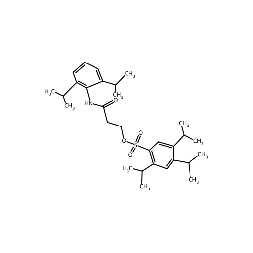 CC(C)c1cc(C(C)C)c(S(=O)(=O)OCCC(=O)Nc2c(C(C)C)cccc2C(C)C)cc1C(C)C